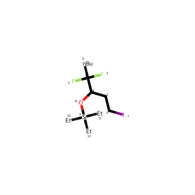 CCCCC(F)(F)C(CCI)O[Si](CC)(CC)CC